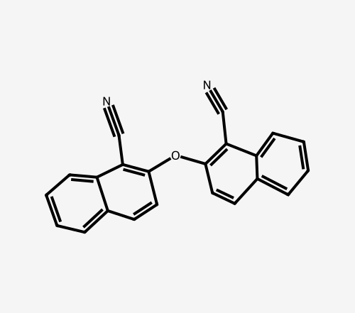 N#Cc1c(Oc2ccc3ccccc3c2C#N)ccc2ccccc12